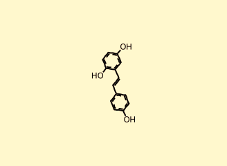 Oc1ccc(C=Cc2cc(O)ccc2O)cc1